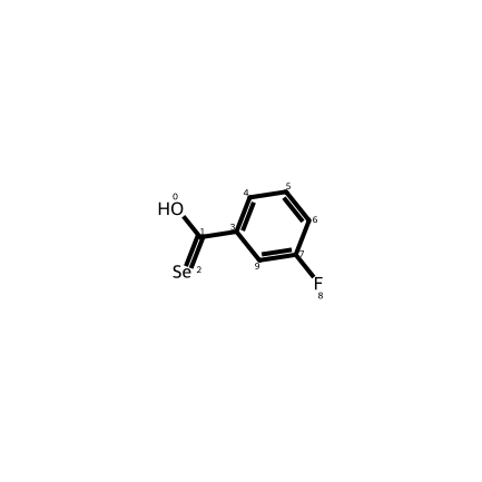 OC(=[Se])c1cccc(F)c1